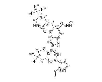 CCn1nccc1C(=O)N[C@H](c1cn2nc(C[C@H]3C[C@@H](C(F)(F)F)CNC3=O)c(CNC)cc2n1)C1CCC(F)(F)CC1